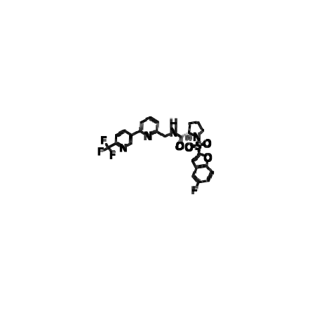 O=C(NCc1cccc(-c2ccc(C(F)(F)F)nc2)n1)[C@@H]1CCCN1S(=O)(=O)c1cc2cc(F)ccc2o1